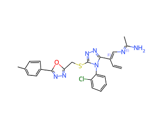 C=C/C(=C\N=C(/C)N)c1nnc(SCc2nnc(-c3ccc(C)cc3)o2)n1-c1ccccc1Cl